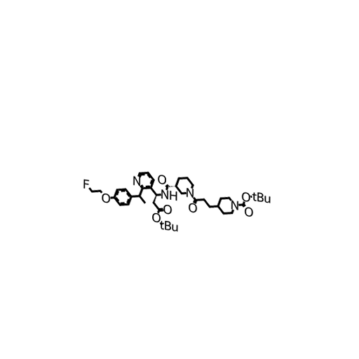 CC(c1ccc(OCCF)cc1)c1ncccc1[C@H](CC(=O)OC(C)(C)C)NC(=O)[C@@H]1CCCN(C(=O)CCC2CCN(C(=O)OC(C)(C)C)CC2)C1